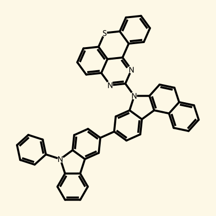 c1ccc(-n2c3ccccc3c3cc(-c4ccc5c6c7ccccc7ccc6n(-c6nc7c8c(cccc8n6)Sc6ccccc6-7)c5c4)ccc32)cc1